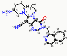 CCn1c(N2CCC[C@H](N)C2)c(C#N)c2ncn(Cc3nccc4ccccc34)c(=O)c21